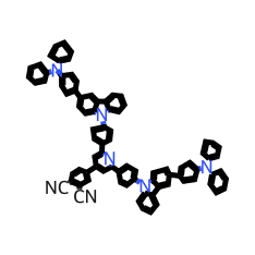 N#Cc1ccc(-c2cc(-c3ccc(-n4c5ccccc5c5cc(-c6ccc(N(c7ccccc7)c7ccccc7)cc6)ccc54)cc3)nc(-c3ccc(-n4c5ccccc5c5cc(-c6ccc(N(c7ccccc7)c7ccccc7)cc6)ccc54)cc3)c2)cc1C#N